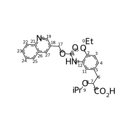 CCOc1ccc(CC(OC(C)C)C(=O)O)cc1NC(=O)OCc1cnc2ccccc2c1